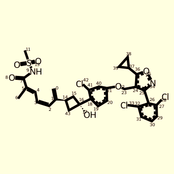 C=C(/C=C\C=C(/C)C(=O)NS(C)(=O)=O)[C@H]1C[C@@](O)(c2ccc(OCc3c(-c4c(Cl)cccc4Cl)noc3C3CC3)cc2Cl)C1